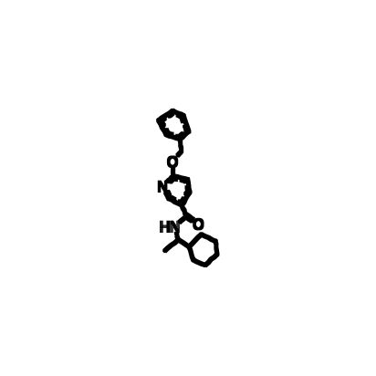 CC(NC(=O)c1ccc(OCc2ccccc2)nc1)C1CCCCC1